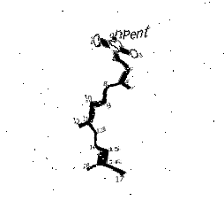 CCCCCS(=O)(=O)CC=C(C)CCC=C(C)CCC=C(C)C